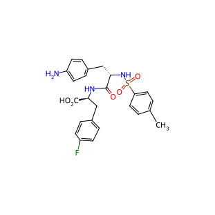 Cc1ccc(S(=O)(=O)N[C@@H](Cc2ccc(N)cc2)C(=O)N[C@@H](Cc2ccc(F)cc2)C(=O)O)cc1